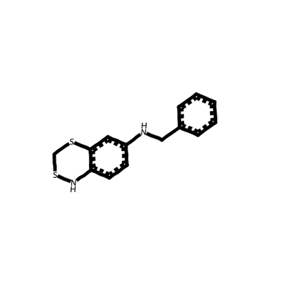 c1ccc(CNc2ccc3c(c2)SCSN3)cc1